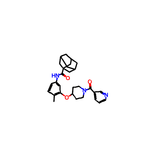 Cc1ccc(NC(=O)C23CC4CC(CC(C4)C2)C3)cc1OC1CCN(C(=O)c2cccnc2)CC1